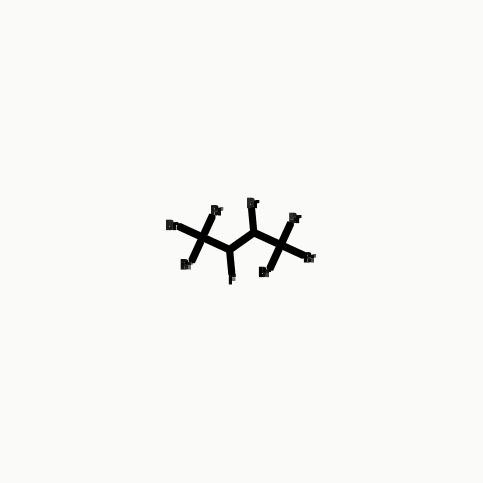 FC(C(Br)C(Br)(Br)Br)C(Br)(Br)Br